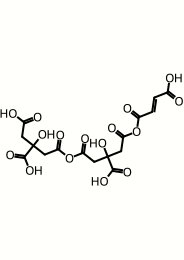 O=C(O)/C=C/C(=O)OC(=O)CC(O)(CC(=O)OC(=O)CC(O)(CC(=O)O)C(=O)O)C(=O)O